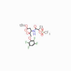 CC[C@@H](OS(=O)(=O)C(F)(F)F)C(=O)NC(CC(=O)OC(C)(C)C)C(=O)COc1c(F)c(F)cc(F)c1F